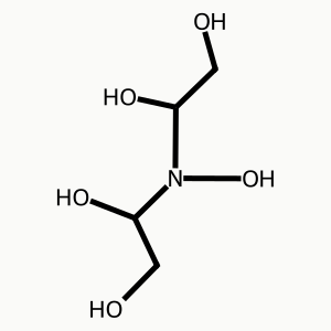 OCC(O)N(O)C(O)CO